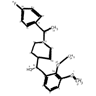 COc1cccc([C@H](O)C2CCN(C(C)c3ccc(F)cc3)CC2)c1OC